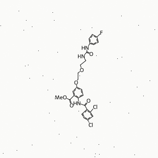 COC(=O)c1cc(OCCOCCNC(=O)Nc2ccc(F)cc2)ccc1NC(=O)c1ccc(Cl)cc1Cl